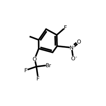 Cc1cc(F)c([N+](=O)[O-])cc1OC(F)(F)Br